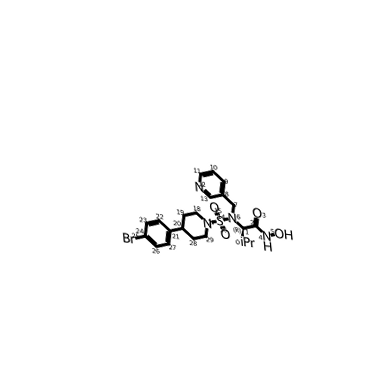 CC(C)[C@H](C(=O)NO)N(Cc1cccnc1)S(=O)(=O)N1CCC(c2ccc(Br)cc2)CC1